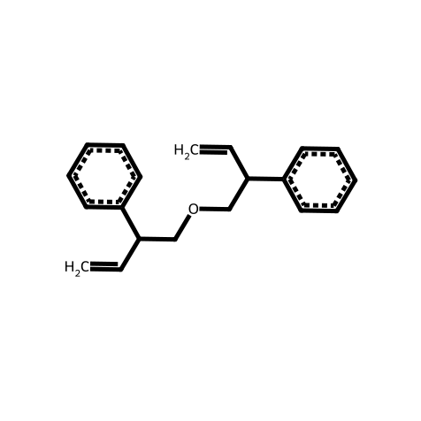 C=CC(COCC(C=C)c1ccccc1)c1ccccc1